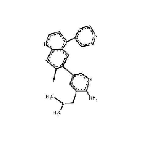 CN(C)Cc1cc(-c2cc3c(-c4ccncc4)ccnc3cc2F)cnc1N